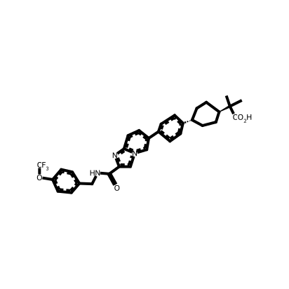 CC(C)(C(=O)O)[C@H]1CC[C@H](c2ccc(-c3ccc4nc(C(=O)NCc5ccc(OC(F)(F)F)cc5)cn4c3)cc2)CC1